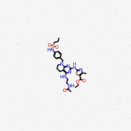 CCCS(=O)(=O)Nc1ccc(CN2CCCc3c(NCCNC(C)=O)nc(Nc4nc(C)c(C(=O)OCC)s4)nc32)cc1